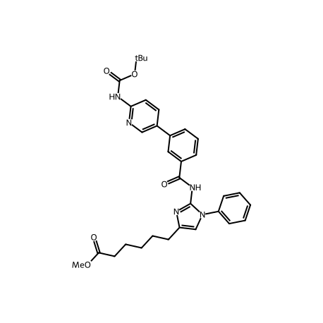 COC(=O)CCCCCc1cn(-c2ccccc2)c(NC(=O)c2cccc(-c3ccc(NC(=O)OC(C)(C)C)nc3)c2)n1